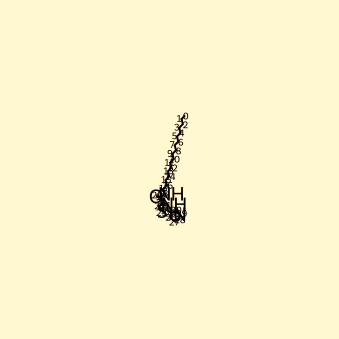 CCCCCCCCCCCCCCCCCCNC(=O)C1CSC(c2cccnc2)N1